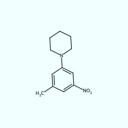 Cc1cc(N2CCCCC2)cc([N+](=O)[O-])c1